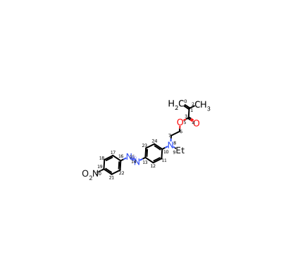 C=C(C)C(=O)OCCN(CC)c1ccc(/N=N/c2ccc([N+](=O)[O-])cc2)cc1